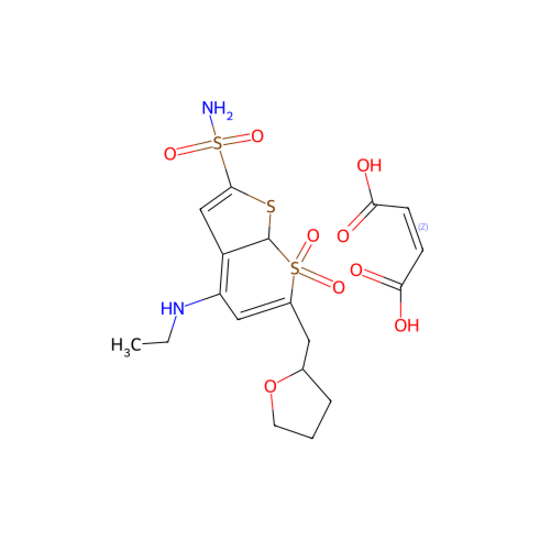 CCNC1=C2C=C(S(N)(=O)=O)SC2S(=O)(=O)C(CC2CCCO2)=C1.O=C(O)/C=C\C(=O)O